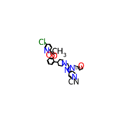 C[C@]1(c2ccc(Cl)cn2)Oc2cccc(C3CCN(Cc4nc5cc(C#N)ncc5n4C[C@@H]4CCO4)CC3)c2O1